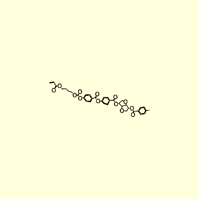 C=CC(=O)OCCCCOC(=O)Oc1ccc(C(=O)Oc2ccc(C(=O)O[C@@H]3COC4C3OC[C@H]4OC(=O)c3ccc(C)cc3)cc2)cc1